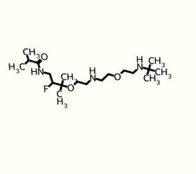 CC(C)C(=O)NCC(F)C(C)(C)OCCNCCOCCNC(C)(C)C